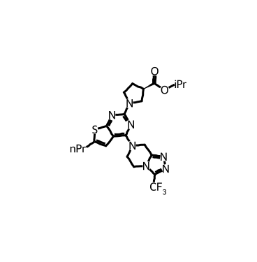 CCCc1cc2c(N3CCn4c(nnc4C(F)(F)F)C3)nc(N3CC[C@@H](C(=O)OC(C)C)C3)nc2s1